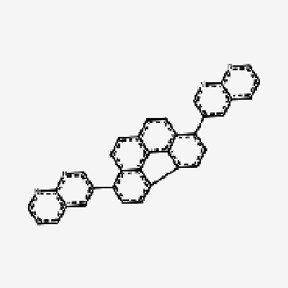 c1cnc2ncc(-c3ccc4c5c3ccc3ccc6c(-c7cnc8ncccc8c7)ccc-4c6c35)cc2c1